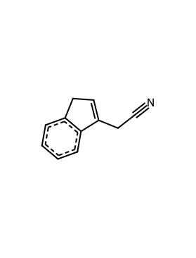 N#CCC1=CCc2ccccc21